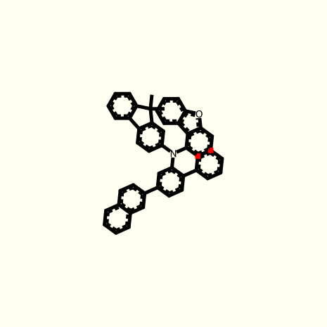 CC1(C)c2ccccc2-c2ccc(N(c3cc(-c4ccc5ccccc5c4)ccc3-c3ccccc3)c3cccc4oc5ccccc5c34)cc21